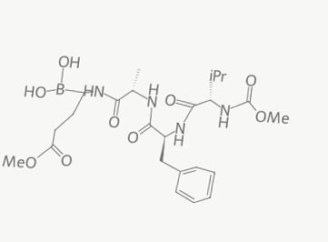 COC(=O)CCC(NC(=O)[C@H](C)NC(=O)[C@H](Cc1ccccc1)NC(=O)[C@@H](NC(=O)OC)C(C)C)B(O)O